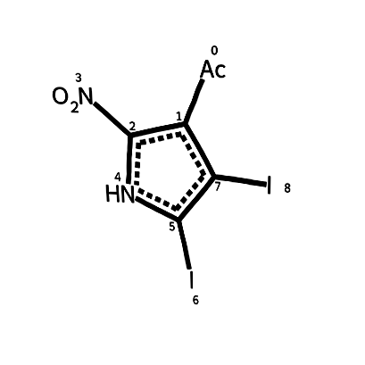 CC(=O)c1c([N+](=O)[O-])[nH]c(I)c1I